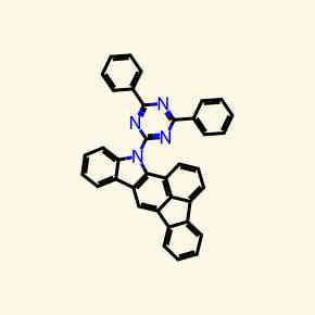 c1ccc(-c2nc(-c3ccccc3)nc(-n3c4ccccc4c4cc5c6c(cccc6c43)-c3ccccc3-5)n2)cc1